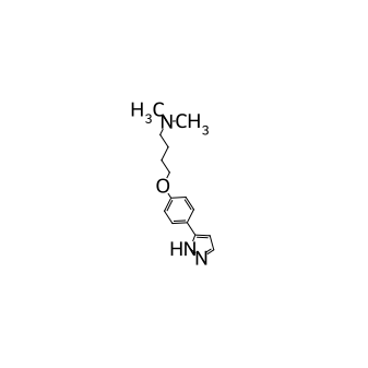 CN(C)CCCCOc1ccc(-c2ccn[nH]2)cc1